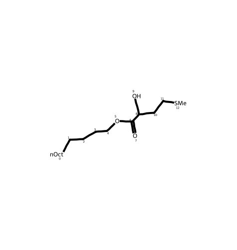 CCCCCCCCCCCCOC(=O)C(O)CCSC